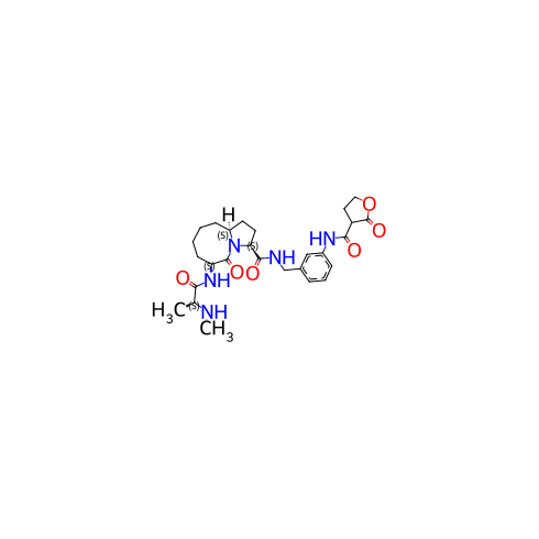 CN[C@@H](C)C(=O)N[C@H]1CCCC[C@H]2CC[C@@H](C(=O)NCc3cccc(NC(=O)C4CCOC4=O)c3)N2C1=O